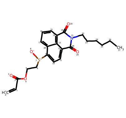 C=CC(=O)OCC[S+]([O-])c1ccc2c3c(cccc13)C(=O)N(CCCCCC)C2=O